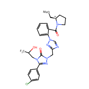 COC[C@H]1CCCN1C(=O)c1ccccc1-n1cnc(Cn2nc(-c3ccc(Cl)cc3)n(CC(O)C(F)(F)F)c2=O)n1